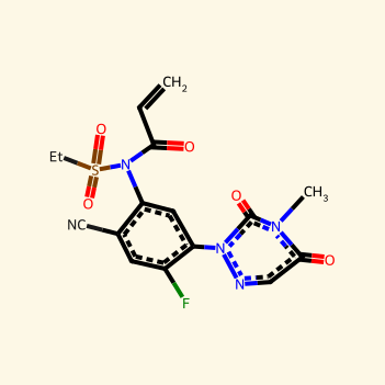 C=CC(=O)N(c1cc(-n2ncc(=O)n(C)c2=O)c(F)cc1C#N)S(=O)(=O)CC